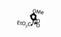 CCOC(=O)Cn1c(=O)oc2cc(OC)ccc21